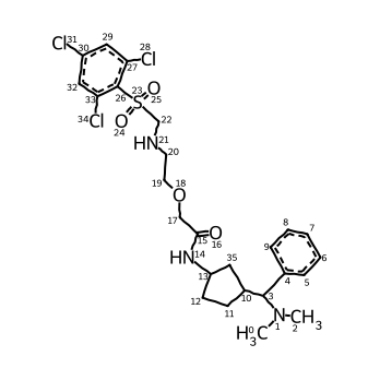 CN(C)C(c1ccccc1)C1CCC(NC(=O)COCCNCS(=O)(=O)c2c(Cl)cc(Cl)cc2Cl)C1